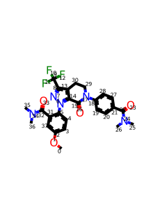 COc1ccc(-n2nc(C(F)(F)F)c3c2C(=O)N(c2ccc(C(=O)N(C)C)cc2)CC3)c(C(=O)N(C)C)c1